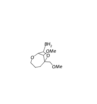 BC1OC2(COC)CCCOC1C2OC